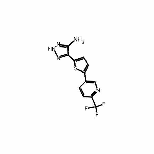 Nc1n[nH]nc1-c1ccc(-c2ccc(C(F)(F)F)nc2)s1